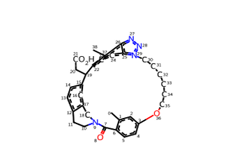 Cc1cc2ccc1C(=O)N1CCc3ccc(cc3C1)C(CC(=O)O)c1ccc3c(nnn3CCCCCCO2)c1C